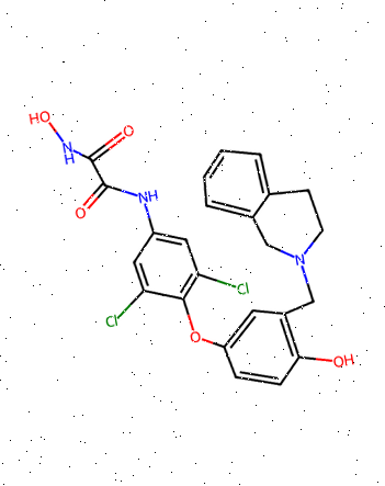 O=C(NO)C(=O)Nc1cc(Cl)c(Oc2ccc(O)c(CN3CCc4ccccc4C3)c2)c(Cl)c1